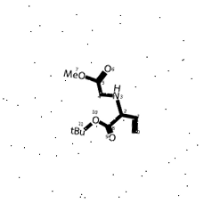 C=CC(NCC(=O)OC)C(=O)OC(C)(C)C